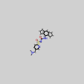 CN(C)Cc1ccc(/[SH](=O)=N/C(=O)Nc2c3c(cc4c2CCC4)CCC3)nc1